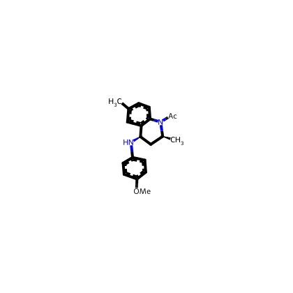 COc1ccc(N[C@@H]2C[C@H](C)N(C(C)=O)c3ccc(C)cc32)cc1